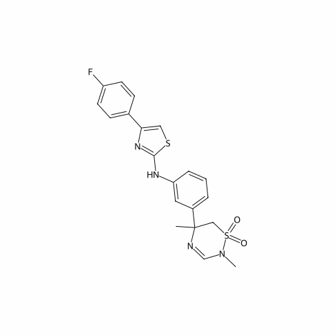 CN1C=NC(C)(c2cccc(Nc3nc(-c4ccc(F)cc4)cs3)c2)CS1(=O)=O